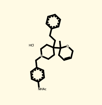 CC(=O)Nc1ccc(CN2CCC(CCc3ccccc3)(C3(C)CC=CCO3)CC2)cc1.Cl